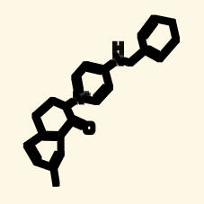 Cc1ccc2c(c1)C(=O)C([n+]1ccc(NCC3=CCCC=C3)cc1)CC2